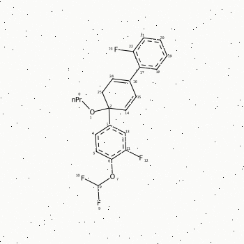 CCCOC1(c2ccc(OC(F)F)c(F)c2)C=CC(c2ccccc2F)=CC1